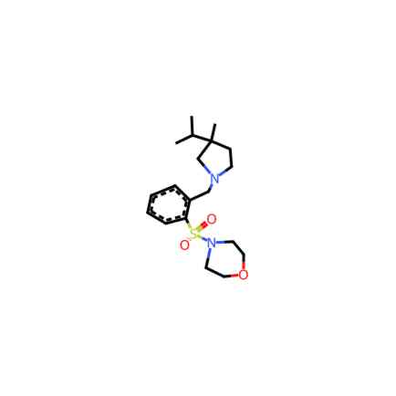 CC(C)C1(C)CCN(Cc2ccccc2S(=O)(=O)N2CCOCC2)C1